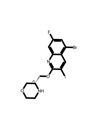 Fc1cc(Br)c2cc(I)c(OC[C@H]3COCCN3)nc2c1